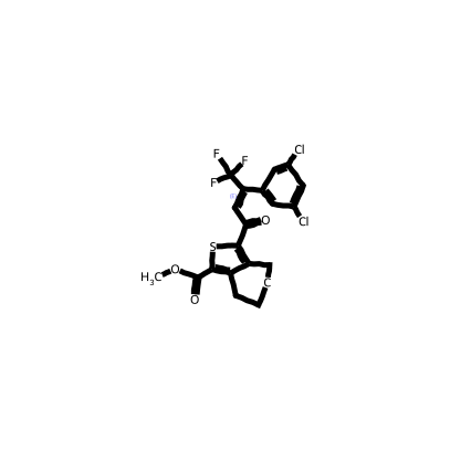 COC(=O)c1sc(C(=O)/C=C(\c2cc(Cl)cc(Cl)c2)C(F)(F)F)c2c1CCCC2